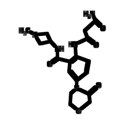 CN1CC(NC(=O)c2cc(N3CCOCC3=O)ccc2NC(=O)CC(N)=O)C1